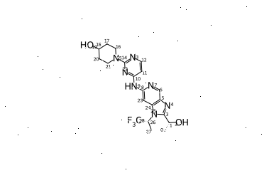 C[C@@H](O)c1nc2cnc(Nc3ccnc(N4CCC(O)CC4)n3)cc2n1[C@H](C)C(F)(F)F